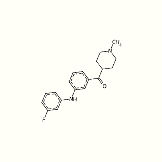 CN1CCC(C(=O)c2cccc(Nc3cccc(F)c3)c2)CC1